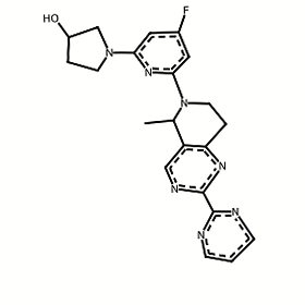 CC1c2cnc(-c3ncccn3)nc2CCN1c1cc(F)cc(N2CCC(O)C2)n1